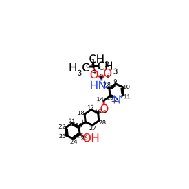 CC(C)(C)OC(=O)Nc1cccnc1COC1CCC(c2ccccc2O)CC1